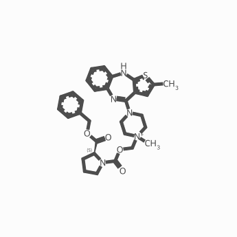 Cc1cc2c(s1)Nc1ccccc1N=C2N1CC[N+](C)(COC(=O)N2CCC[C@H]2C(=O)OCc2ccccc2)CC1